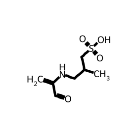 C=C(C=O)NCC(C)CS(=O)(=O)O